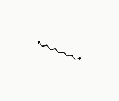 FC=CCCCCCCCF